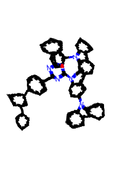 c1ccc(-c2cccc(-c3ccc(-c4nc(-c5ccccc5)nc(-n5c6ccc(-n7c8ccccc8c8ccccc87)cc6c6ccc7c8ccccc8n(-c8ccccc8)c7c65)n4)cc3)c2)cc1